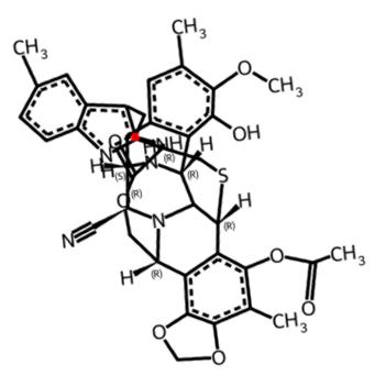 COc1c(C)cc2c(c1O)[C@H]1N[C@@H](C2)[C@H](C#N)N2C1[C@@H]1SC[C@]3(NCCc4c3[nH]c3ccc(C)cc43)C(=O)OC[C@H]2c2c3c(c(C)c(OC(C)=O)c21)OCO3